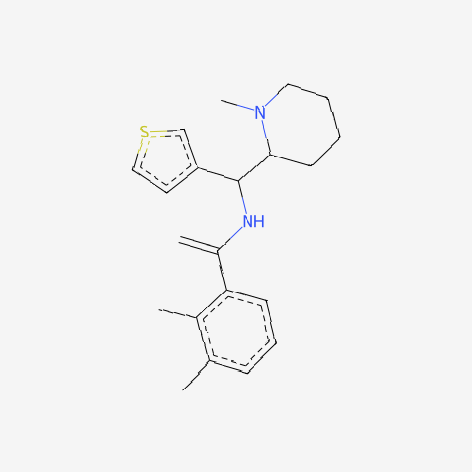 C=C(NC(c1ccsc1)C1CCCCN1C)c1cccc(C)c1C